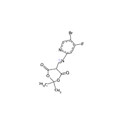 CC1(C)OC(=O)C(/C=N/c2cc(F)c(Br)cn2)C(=O)O1